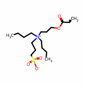 C=CC(=O)OCCC[N+](CCCC)(CCCC)CCCS(=O)(=O)[O-]